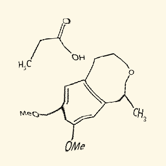 CCC(=O)O.COc1cc2c(cc1OC)C(C)OCC2